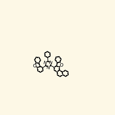 c1ccc(-c2nc(-c3cccc4oc5ccccc5c34)nc(-c3cc4ccc5ccccc5c4c4oc5ccccc5c34)n2)cc1